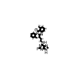 Cc1ccccc1-n1c(CCCNc2nc(F)nc3[nH]cnc23)nc2cccc(C)c2c1=O